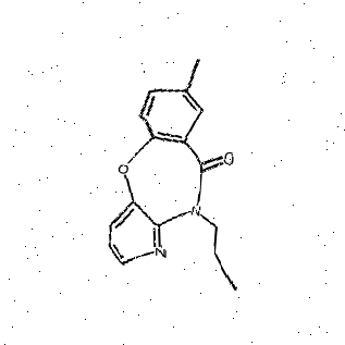 CCCN1C(=O)c2cc(C)ccc2Oc2cccnc21